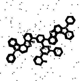 CC1CCC=CC1C1=NC(C2=CCCC=C2)NC(C2=C(c3cccc4c3oc3ccc5c(c34)C3=CC=CCC3N5C3=CC=CCC3)CCC(C3=CC=CC4C5c6c(n(-c7ccccc7)c7ccccc67)C=CC5O[C@@H]34)=C2)=N1